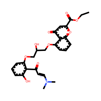 CCOC(=O)c1cc(=O)c2c(OCC(O)COc3cccc(O)c3C(=O)/C=C/N(C)C)cccc2o1